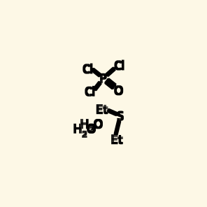 CCSCC.O.O.O=P(Cl)(Cl)Cl